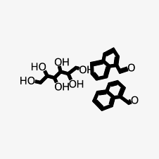 O=Cc1cccc2ccccc12.O=Cc1cccc2ccccc12.OCC(O)C(O)C(O)C(O)CO